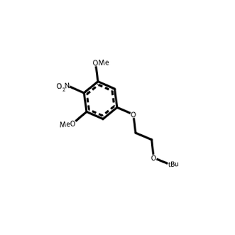 COc1cc(OCCOC(C)(C)C)cc(OC)c1[N+](=O)[O-]